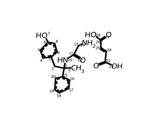 CC(Cc1ccc(O)cc1)(NC(=O)CN)c1ccccc1.O=C(O)C=CC(=O)O